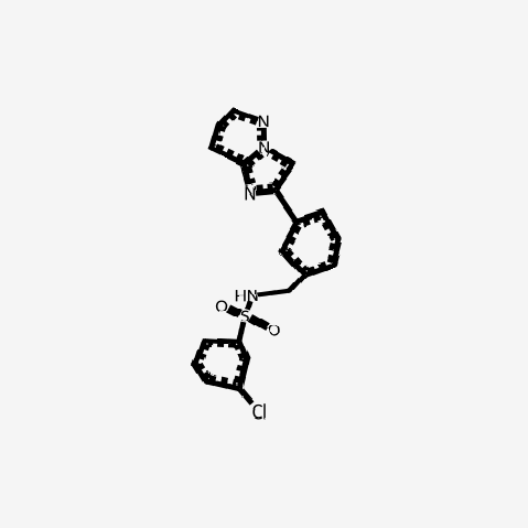 O=S(=O)(NCc1cccc(-c2cn3ncccc3n2)c1)c1cccc(Cl)c1